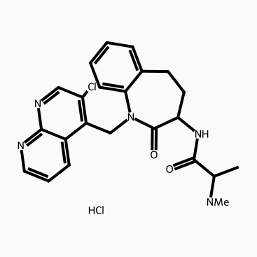 CNC(C)C(=O)NC1CCc2ccccc2N(Cc2c(Cl)cnc3ncccc23)C1=O.Cl